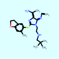 C=C/N=C1\C(=C(/C)N)N=C(Sc2cc3c(cc2C)OCC3)N1CCNCC(C)(C)C